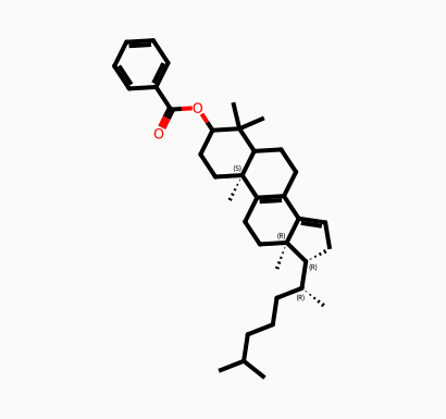 CC(C)CCC[C@@H](C)[C@H]1CC=C2C3=C(CC[C@@]21C)[C@@]1(C)CCC(OC(=O)c2ccccc2)C(C)(C)C1CC3